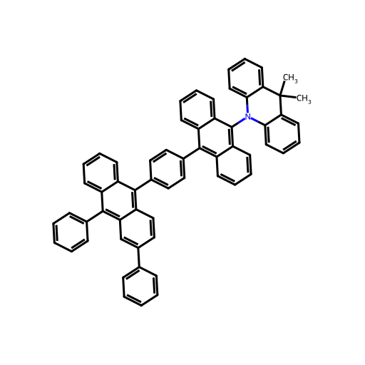 CC1(C)c2ccccc2N(c2c3ccccc3c(-c3ccc(-c4c5ccccc5c(-c5ccccc5)c5cc(-c6ccccc6)ccc45)cc3)c3ccccc23)c2ccccc21